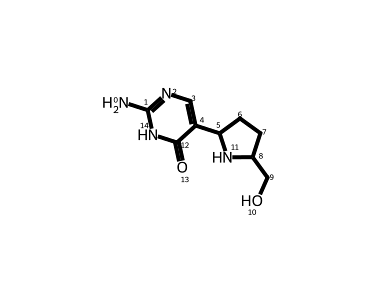 Nc1ncc(C2CCC(CO)N2)c(=O)[nH]1